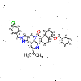 CC(C)c1ccc(N(Cc2cnn(Cc3ccc(Cl)cc3)c2)C(=O)C2CCCc3c(OCc4ccccc4)cccc32)cn1